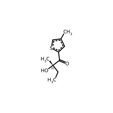 CC[C@](C)(O)C(=O)c1cc(C)cs1